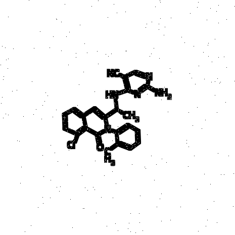 Cc1ccccc1-n1c([C@H](C)Nc2nc(N)ncc2C#N)cc2cccc(Cl)c2c1=O